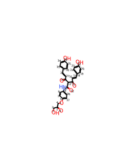 O=C(CO)COc1ccc(NC(=O)C(C(=O)/C=C/c2ccc(O)cc2)C(=O)/C=C/c2ccc(O)cc2)cc1